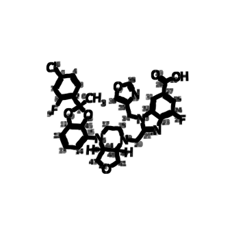 C[C@]1(c2ccc(Cl)cc2F)Oc2cccc(N3CCN(Cc4nc5c(F)cc(C(=O)O)cc5n4Cc4cocn4)[C@@H]4COC[C@@H]43)c2O1